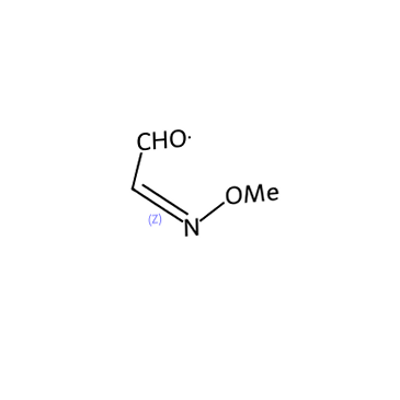 CO/N=C\[C]=O